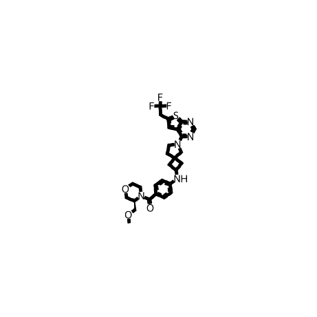 COC[C@H]1COCCN1C(=O)c1ccc(NC2CC3(CCN(c4ncnc5sc(CC(F)(F)F)cc45)C3)C2)cc1